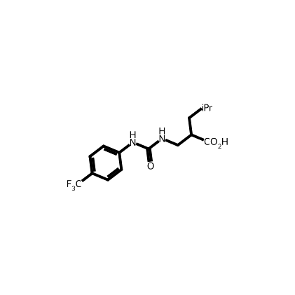 CC(C)CC(CNC(=O)Nc1ccc(C(F)(F)F)cc1)C(=O)O